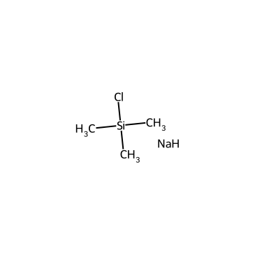 C[Si](C)(C)Cl.[NaH]